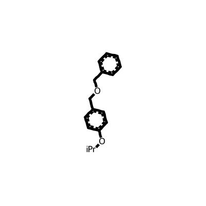 CC(C)Oc1ccc(COCc2ccccc2)cc1